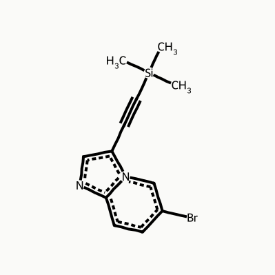 C[Si](C)(C)C#Cc1cnc2ccc(Br)cn12